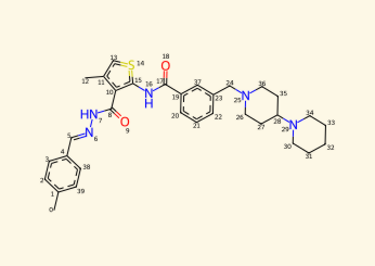 Cc1ccc(C=NNC(=O)c2c(C)csc2NC(=O)c2cccc(CN3CCC(N4CCCCC4)CC3)c2)cc1